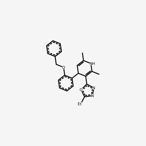 CCc1nnc(C2=C(C)NC(C)=CC2c2ccccc2OCc2ccccc2)o1